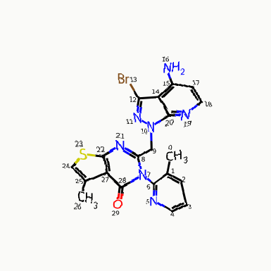 Cc1cccnc1-n1c(Cn2nc(Br)c3c(N)ccnc32)nc2scc(C)c2c1=O